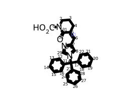 O=C(O)N1CCC/C(=C/c2cn(C(c3ccccc3)(c3ccccc3)c3ccccc3)cn2)C1=O